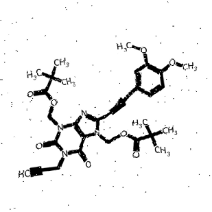 C#CCn1c(=O)c2c(nc(C#Cc3ccc(OC)c(OC)c3)n2COC(=O)C(C)(C)C)n(COC(=O)C(C)(C)C)c1=O